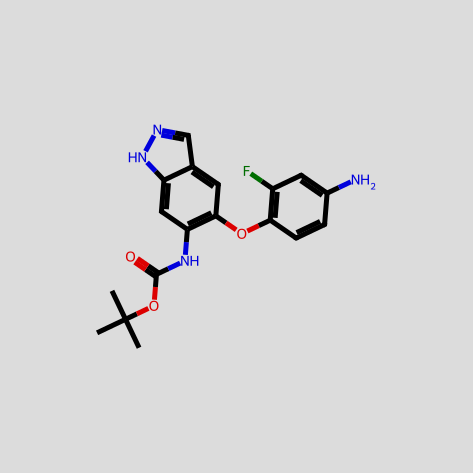 CC(C)(C)OC(=O)Nc1cc2[nH]ncc2cc1Oc1ccc(N)cc1F